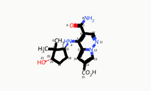 CC1(C)[C@@H](Nc2c(C(N)=O)cnn3cc(C(=O)O)cc23)CC[C@@H]1O